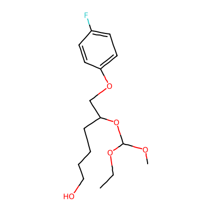 CCOC(OC)OC(CCCCO)COc1ccc(F)cc1